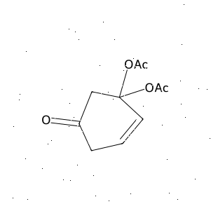 CC(=O)OC1(OC(C)=O)C=CCC(=O)C1